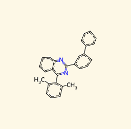 Cc1cccc(C)c1-c1nc(-c2cccc(-c3ccccc3)c2)nc2ccccc12